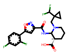 O=C(NC1[C@@H](C(=O)O)CCCN1CC1(C(F)F)CC1)c1cc(-c2ccc(F)cc2F)on1